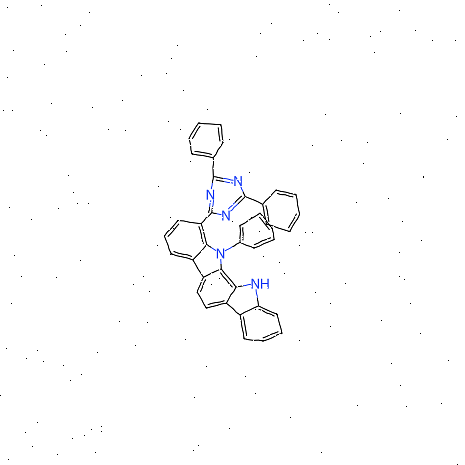 c1ccc(-c2nc(-c3ccccc3)nc(-c3cccc4c5ccc6c7ccccc7[nH]c6c5n(-c5ccccc5)c34)n2)cc1